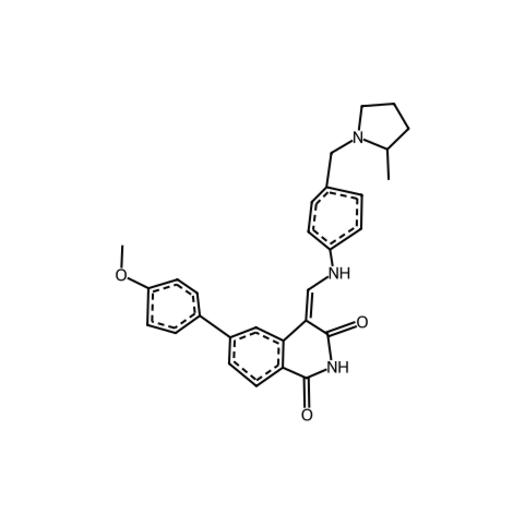 COc1ccc(-c2ccc3c(c2)/C(=C/Nc2ccc(CN4CCCC4C)cc2)C(=O)NC3=O)cc1